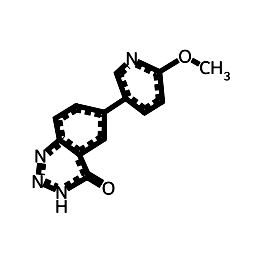 COc1ccc(-c2ccc3nn[nH]c(=O)c3c2)cn1